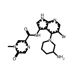 Cn1cc(C(=O)Nc2c[nH]c3ncc(Br)c(N4CCCC(N)C4)c23)ncc1=O